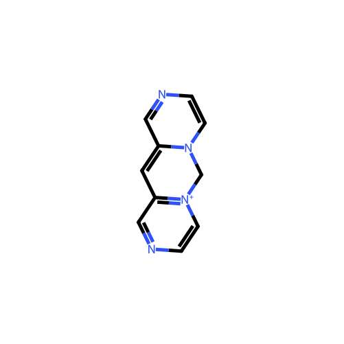 C1=CN2C[n+]3ccncc3C=C2C=N1